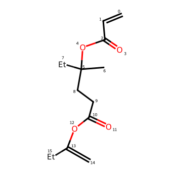 C=CC(=O)OC(C)(CC)CCC(=O)OC(=C)CC